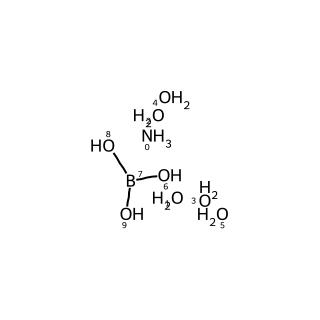 N.O.O.O.O.O.OB(O)O